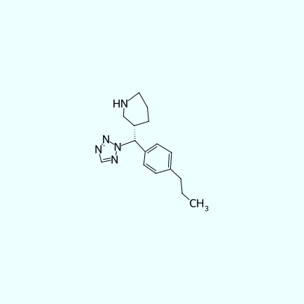 CCCc1ccc(C([C@H]2CCCNC2)n2ncnn2)cc1